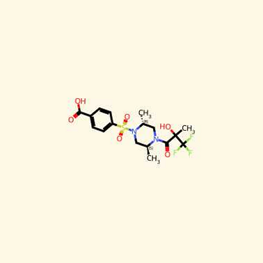 C[C@@H]1CN(C(=O)C(C)(O)C(F)(F)F)[C@@H](C)CN1S(=O)(=O)c1ccc(C(=O)O)cc1